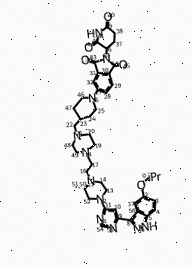 CC(C)Oc1ccc2[nH]nc(-c3cc(N4CCN(CCN5CCN(CC6CCN(c7ccc8c(c7)C(=O)N(C7CCC(=O)NC7=O)C8=O)CC6)CC5)[C@@H](C)C4)ncn3)c2c1